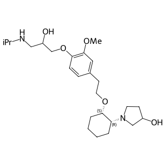 COc1cc(CCO[C@H]2CCCC[C@H]2N2CCC(O)C2)ccc1OCC(O)CNC(C)C